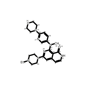 CCN1CCN(c2cc3cc[nH]c(=O)c3c(N(C)c3ccc(N4CCOCC4)nc3)n2)CC1